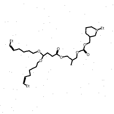 [CH2]C(COC(=O)CCC(OCCCC/C=C\CC)OCCCC/C=C\CC)COC(=O)OCC1CCCN(CC)C1